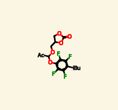 CCC(C)c1c(F)c(F)c(OC(OCC2COC(=O)O2)C(C)=O)c(F)c1F